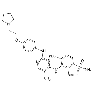 CCCCc1ccc(S(N)(=O)=O)c(CCCC)c1Nc1nc(Nc2ccc(OCCN3CCCC3)cc2)ncc1C